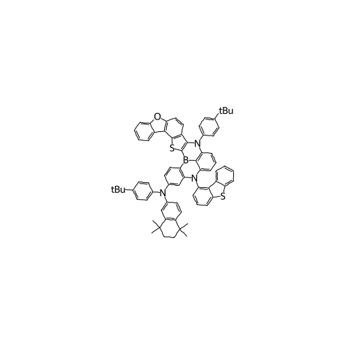 CC(C)(C)c1ccc(N(c2ccc3c(c2)N(c2cccc4sc5ccccc5c24)c2cccc4c2B3c2sc3c(ccc5oc6ccccc6c53)c2N4c2ccc(C(C)(C)C)cc2)c2ccc3c(c2)C(C)(C)CCC3(C)C)cc1